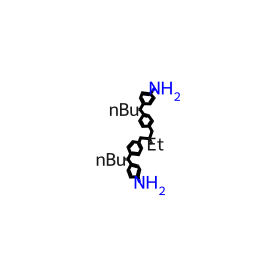 CCCCC(c1ccc(N)cc1)c1ccc(CC(CC)Cc2ccc(C(CCCC)c3ccc(N)cc3)cc2)cc1